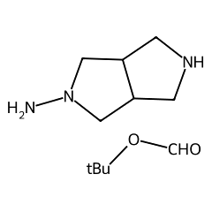 CC(C)(C)OC=O.NN1CC2CNCC2C1